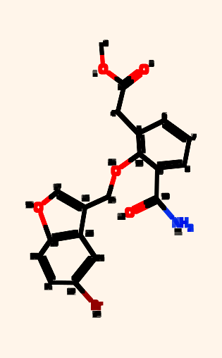 COC(=O)Cc1cccc(C(N)=O)c1OCc1coc2ccc(Br)cc12